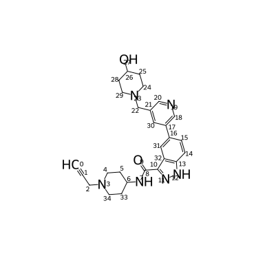 C#CCN1CCC(NC(=O)c2n[nH]c3ccc(-c4cncc(CN5CCC(O)CC5)c4)cc23)CC1